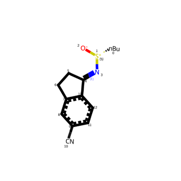 CCCC[S@@+]([O-])/N=C1\CCc2cc(C#N)ccc21